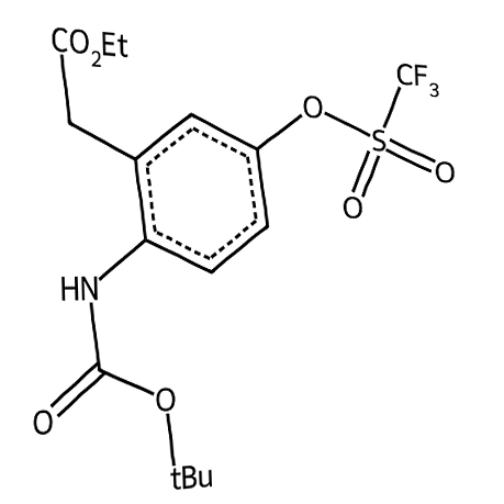 CCOC(=O)Cc1cc(OS(=O)(=O)C(F)(F)F)ccc1NC(=O)OC(C)(C)C